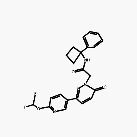 O=C(Cn1nc(-c2ccc(OC(F)F)nc2)ccc1=O)NC1(c2ccccc2)CCC1